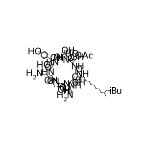 CC(=O)OO.CCC(C)CC(C)CCCCCCCCC(=O)N[C@H]1C[C@@H](O)[C@H](NCCN)NC(=O)[C@@H]2[C@@H](O)CCN2C(=O)[C@H]([C@@H](O)CCN)NC(=O)[C@H]([C@H](O)[C@@H](O)c2ccc(O)cc2)NC(=O)[C@@H]2C[C@@H](O)CN2C(=O)[C@H]([C@@H](C)O)NC1=O